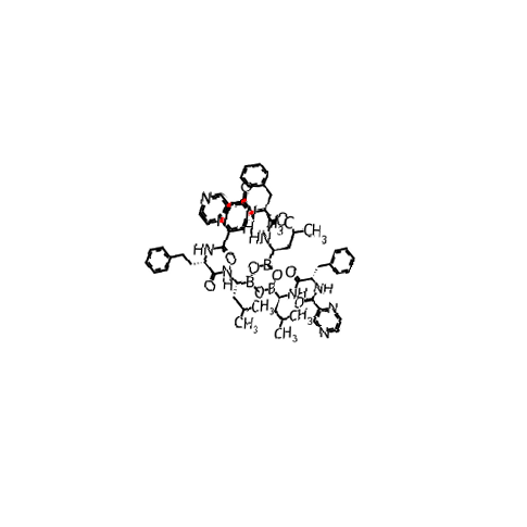 CC(C)C[C@H](NC(=O)[C@H](CCc1ccccc1)NC(=O)c1cnccn1)B1OB([C@H](CC(C)C)NC(=O)[C@H](Cc2ccccc2)NC(=O)c2cnccn2)OB([C@H](CC(C)C)NC(=O)[C@H](Cc2ccccc2)NC(=O)c2cnccn2)O1